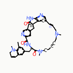 Cc1cc(C[C@H]2NC(=O)c3cc4c(cn3)C[C@@]3(C4)C(=O)Nc4ncc(cc43)/C=C/CN(C)CCCCCN(C)C2=O)cc2c1N(C)CC=C2